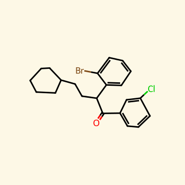 O=C(c1cccc(Cl)c1)C(CCC1CCCCC1)c1ccccc1Br